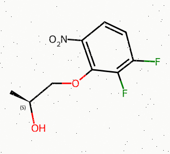 C[C@H](O)COc1c([N+](=O)[O-])ccc(F)c1F